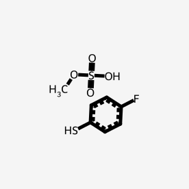 COS(=O)(=O)O.Fc1ccc(S)cc1